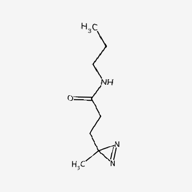 CCCNC(=O)CCC1(C)N=N1